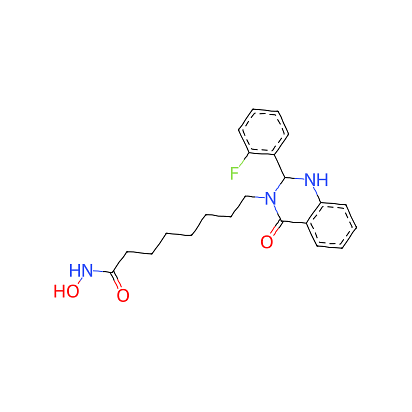 O=C(CCCCCCCN1C(=O)c2ccccc2NC1c1ccccc1F)NO